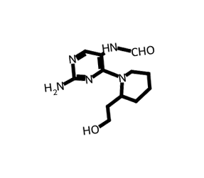 Nc1ncc(NC=O)c(N2CCCCC2CCO)n1